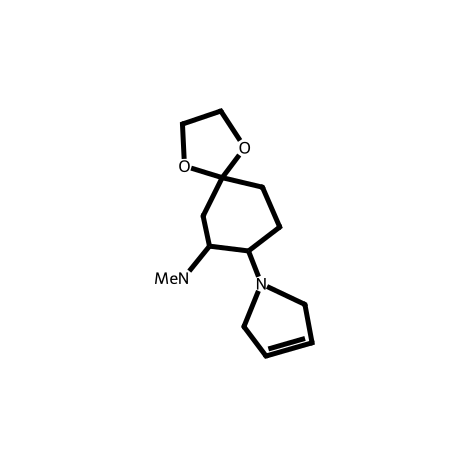 CNC1CC2(CCC1N1CC=CC1)OCCO2